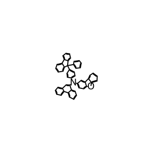 c1ccc(C2(c3ccc(N(c4ccc5oc6ccccc6c5c4)c4cc5ccccc5c5ccccc45)cc3)c3ccccc3-c3ccccc32)cc1